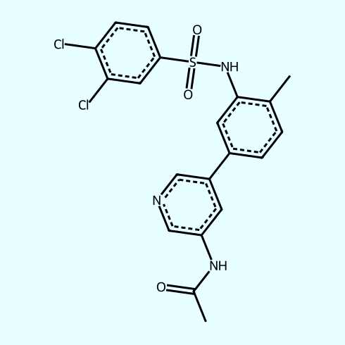 CC(=O)Nc1cncc(-c2ccc(C)c(NS(=O)(=O)c3ccc(Cl)c(Cl)c3)c2)c1